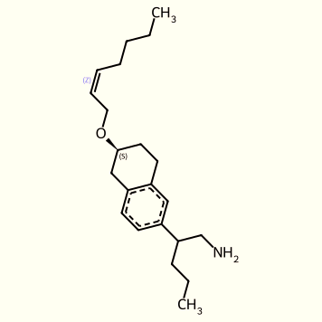 CCCC/C=C\CO[C@H]1CCc2cc(C(CN)CCC)ccc2C1